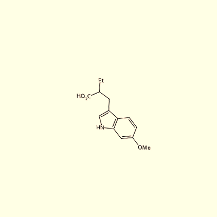 CCC(Cc1c[nH]c2cc(OC)ccc12)C(=O)O